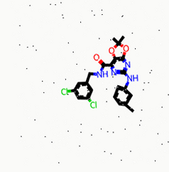 Cc1cccc(Nc2nc3c(c(C(=O)NCc4cc(Cl)cc(Cl)c4)n2)OC(C)(C)O3)c1